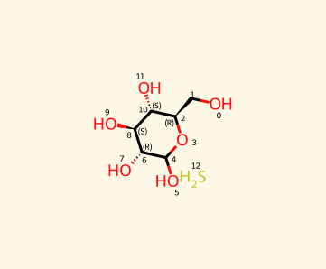 OC[C@H]1OC(O)[C@H](O)[C@@H](O)[C@@H]1O.S